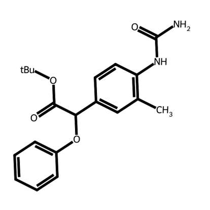 Cc1cc(C(Oc2ccccc2)C(=O)OC(C)(C)C)ccc1NC(N)=O